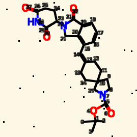 CC(C)(C)OC(=O)N1CCC2(CCC(=Cc3cccc4c3CN(C3CCC(=O)NC3=O)C4=O)CC2)C1